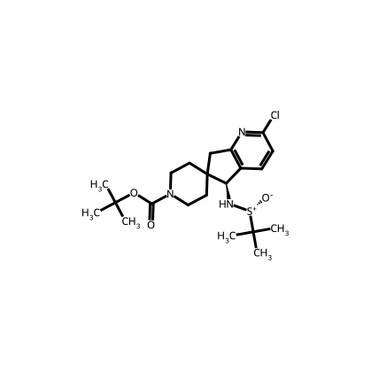 CC(C)(C)OC(=O)N1CCC2(CC1)Cc1nc(Cl)ccc1[C@H]2N[S@+]([O-])C(C)(C)C